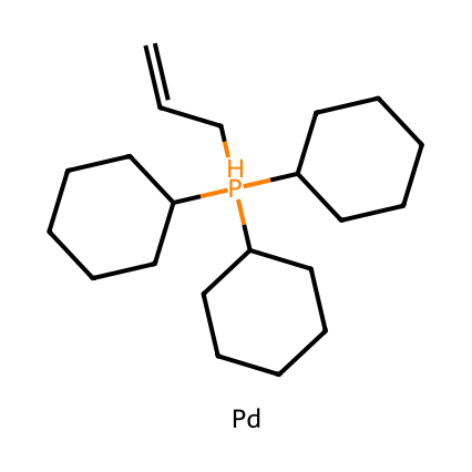 C=CC[PH](C1CCCCC1)(C1CCCCC1)C1CCCCC1.[Pd]